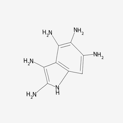 Nc1cc2[nH]c(N)c(N)c2c(N)c1N